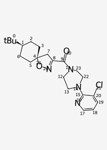 CC(C)(C)[C@H]1CC[C@@]2(CC1)CC(C(=O)N1CCN(c3ncccc3Cl)CC1)=NO2